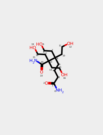 NC(=O)CCCC(CCO)(CCO)C(CCO)(CCO)C(N)=O